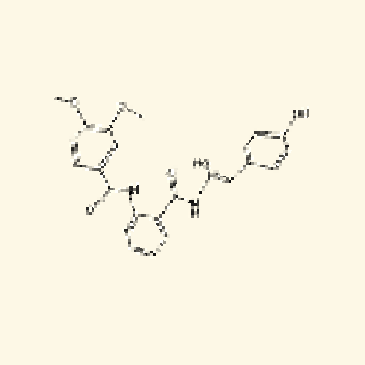 COc1ccc(C(=O)Nc2ccccc2C(=O)N[N+](O)=Cc2ccc(O)cc2)cc1OC